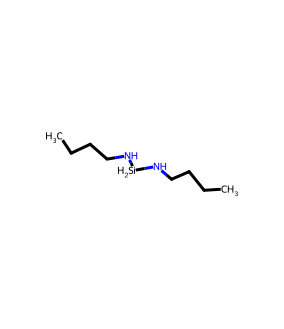 CCCCN[SiH2]NCCCC